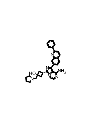 Nc1nccn2c1c(-c1ccc3ccc(-c4ccccc4)nc3c1)nc2[C@H]1C[C@](O)(CN2CCCC2)C1